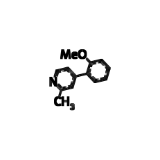 COc1ccccc1-c1ccnc(C)c1